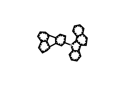 c1cc2c3c(cccc3c1)-c1cc(-n3c4ccccc4c4ccc5ccccc5c43)ccc1-2